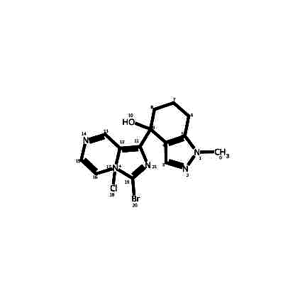 Cn1ncc2c1CCCC2(O)C1=C2C=NC=C[N+]2(Cl)C(Br)=N1